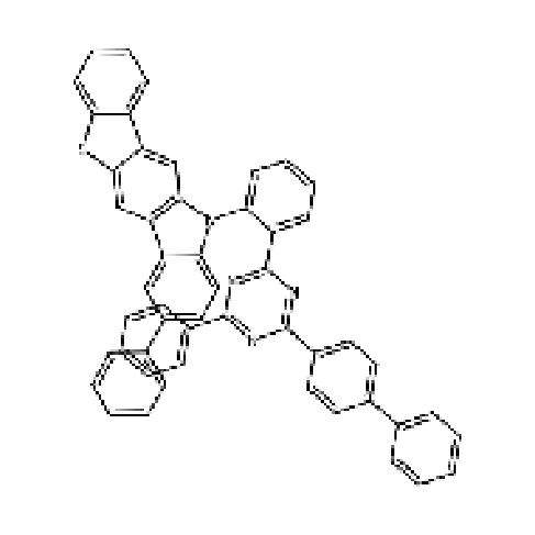 c1ccc(-c2ccc(-c3nc(-c4ccccc4)nc(-c4ccccc4-n4c5ccc(-c6ccccc6)cc5c5cc6sc7ccccc7c6cc54)n3)cc2)cc1